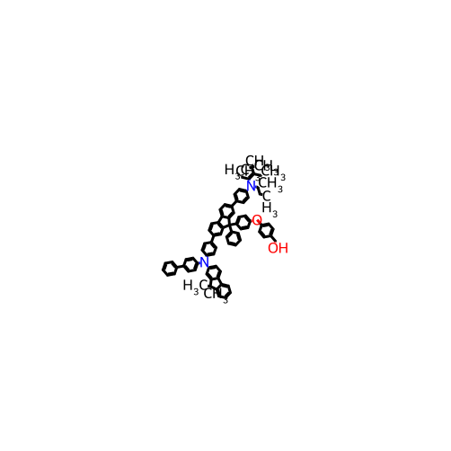 CC/C(=C(/CC)C(C)(C)C)N(c1ccc(-c2ccc3c(c2)C(c2ccccc2)(c2ccc(Oc4ccc(CO)cc4)cc2)c2cc(-c4ccc(N(c5ccc(-c6ccccc6)cc5)c5ccc6c(c5)C(C)(C)c5ccccc5-6)cc4)ccc2-3)cc1)C(C)CC